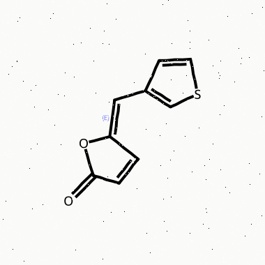 O=C1C=C/C(=C\c2ccsc2)O1